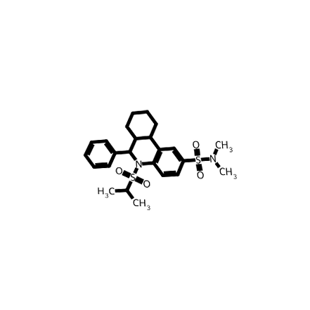 CC(C)S(=O)(=O)N1c2ccc(S(=O)(=O)N(C)C)cc2C2CCCCC2C1c1ccccc1